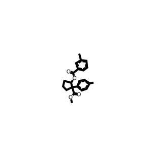 COC(=O)C1(c2ccc(C)cc2)CCCC1OC(=O)c1cccc(C)c1